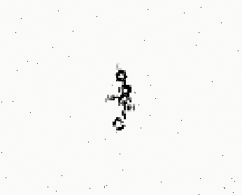 CC(C)Nc1nc(NCCN2CCOCC2)nc2ccc(-c3ccc(F)cc3)nc12